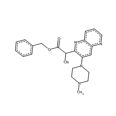 CN1CCN(c2cc3ncccc3nc2C(C#N)C(=O)OCc2ccccc2)CC1